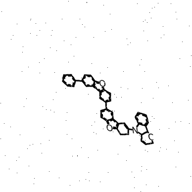 C1=CC2C(CC1)c1ccccc1N2C1=Cc2c(oc3ccc(-c4ccc5oc6ccc(-c7ccccc7)cc6c5c4)cc23)CC1